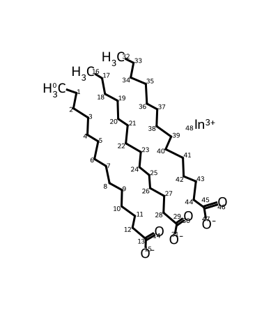 CCCCCCCCCCCCCC(=O)[O-].CCCCCCCCCCCCCC(=O)[O-].CCCCCCCCCCCCCC(=O)[O-].[In+3]